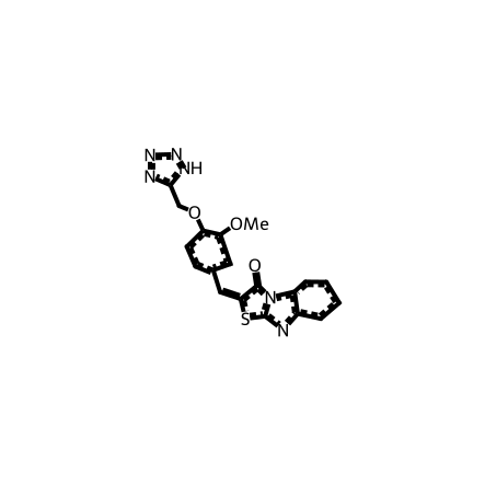 COc1cc(/C=c2/sc3nc4ccccc4n3c2=O)ccc1OCc1nnn[nH]1